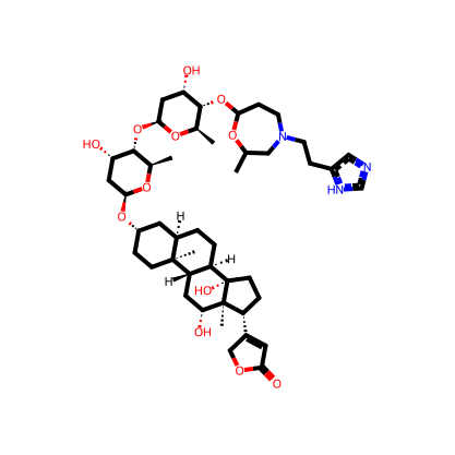 CC1CN(CCc2cnc[nH]2)CCC(O[C@H]2[C@@H](O)C[C@H](O[C@H]3[C@@H](O)C[C@H](O[C@H]4CC[C@@]5(C)[C@H](CC[C@@H]6[C@@H]5C[C@@H](O)[C@]5(C)[C@@H](C7=CC(=O)OC7)CC[C@]65O)C4)O[C@@H]3C)O[C@@H]2C)O1